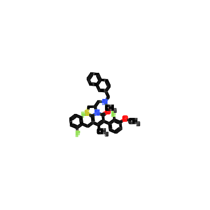 COc1cccc(-c2c(C)c(Cc3c(F)cccc3F)c3n(c2=O)C(CN(C)Cc2ccc4ccccc4c2)CS3)c1F